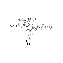 CCOCCCc1cc2c(cc1OCCCC(=O)O)c(C(=O)O)c(C)n2CCOC